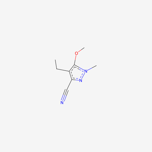 CCc1c(C#N)nn(C)c1OC